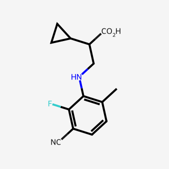 Cc1ccc(C#N)c(F)c1NCC(C(=O)O)C1CC1